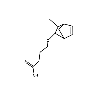 CC1C2C=CC(C2)C1OCCCC(=O)O